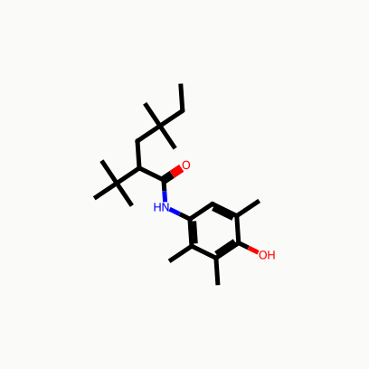 CCC(C)(C)CC(C(=O)Nc1cc(C)c(O)c(C)c1C)C(C)(C)C